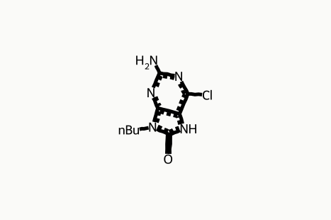 CCCCn1c(=O)[nH]c2c(Cl)nc(N)nc21